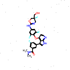 CN(C)C(=O)c1cc(F)cc(-c2c[nH]c3nccc(Oc4c(F)cc(NC5=NC[C@@](F)(CO)CO5)cc4F)c23)c1